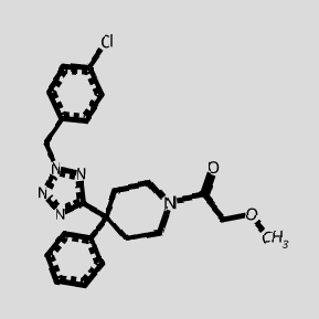 COCC(=O)N1CCC(c2ccccc2)(c2nnn(Cc3ccc(Cl)cc3)n2)CC1